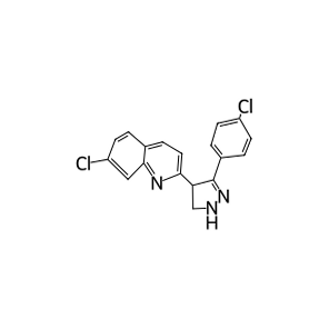 Clc1ccc(C2=NNCC2c2ccc3ccc(Cl)cc3n2)cc1